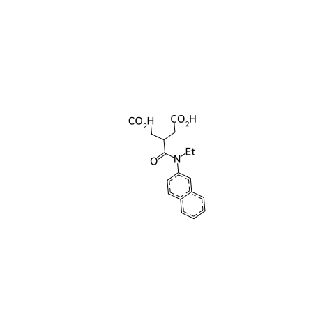 CCN(C(=O)C(CC(=O)O)CC(=O)O)c1ccc2ccccc2c1